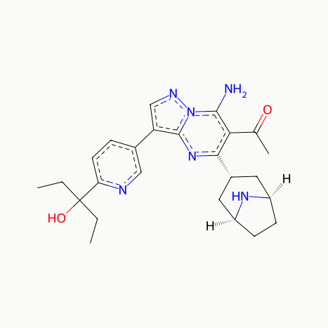 CCC(O)(CC)c1ccc(-c2cnn3c(N)c(C(C)=O)c([C@@H]4C[C@H]5CC[C@@H](C4)N5)nc23)cn1